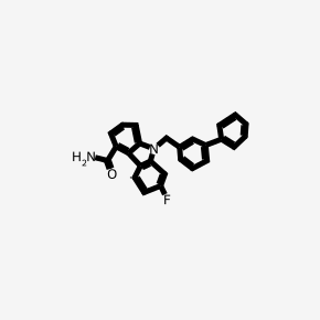 NC(=O)c1cccc2c1c1[c]cc(F)cc1n2Cc1cccc(-c2ccccc2)c1